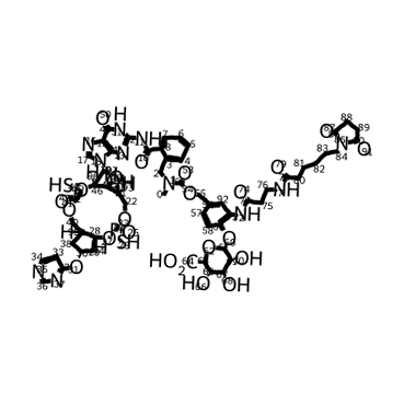 CN(Cc1ccccc1C(=O)Nc1nc2c(ncn2[C@@H]2O[C@@H]3CO[P@@](=O)(S)O[C@H]4C[C@H](Oc5ccncn5)C[C@@H]4CO[P@@](=O)(S)O[C@@H]2[C@@H]3O)c(=O)[nH]1)C(=O)OCc1ccc(O[C@@H]2O[C@H](C(=O)O)[C@@H](O)[C@H](O)[C@H]2O)c(NC(=O)CCNC(=O)CCCCCN2C(=O)CCC2=O)c1